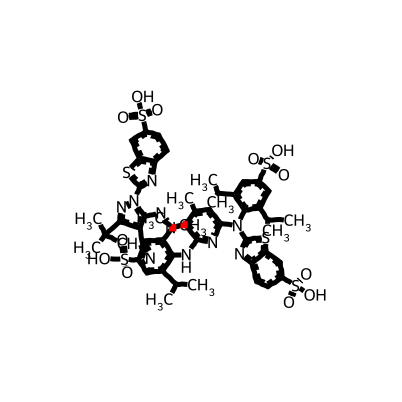 Cc1cc(N(c2nc3ccc(S(=O)(=O)O)cc3s2)c2c(C(C)C)cc(S(=O)(=O)O)cc2C(C)C)nc(Nc2c(C(C)C)cc(S(=O)(=O)O)cc2C(C)C)c1N=Nc1c(C#N)c(C(C)(C)C)nn1-c1nc2ccc(S(=O)(=O)O)cc2s1